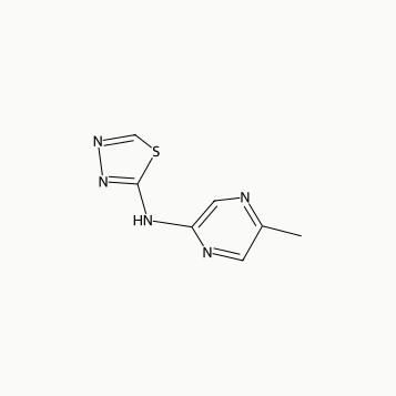 Cc1cnc(Nc2nncs2)cn1